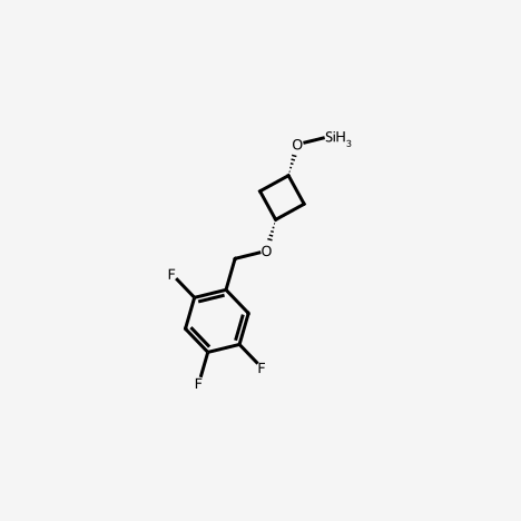 Fc1cc(F)c(CO[C@H]2C[C@@H](O[SiH3])C2)cc1F